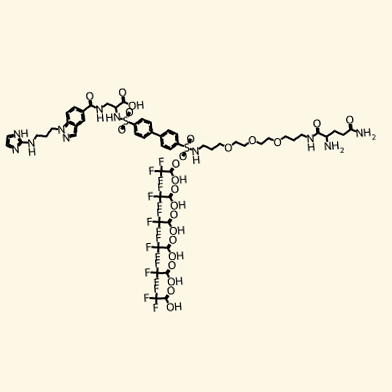 NC(=O)CCC(N)C(=O)NCCCOCCOCCOCCCNS(=O)(=O)c1ccc(-c2ccc(S(=O)(=O)NC(CNC(=O)c3ccc4c(cnn4CCCNc4ncc[nH]4)c3)C(=O)O)cc2)cc1.O=C(O)C(F)(F)F.O=C(O)C(F)(F)F.O=C(O)C(F)(F)F.O=C(O)C(F)(F)F.O=C(O)C(F)(F)F.O=C(O)C(F)(F)F